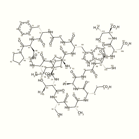 CC(C)[C@H](NC(=O)[C@H](CCC(=O)O)NC(=O)[C@H](C)NC(=O)[C@H](CO)NC(=O)[C@@H](NC(=O)[C@@H]1CCCN1C(=O)[C@H](CC(=O)O)NC(=O)[C@@H]1CCCN1C(=O)[C@H](CS)NC(=O)[C@H](Cc1ccccc1)NC(=O)CNC(=O)[C@H](Cc1c[nH]c2ccccc12)NC(=O)[C@@H](N)CCCCN)[C@@H](C)O)C(=O)NCC(=O)N[C@@H](CS)C(=O)N[C@@H](CC(=O)O)C(=O)N[C@H](C(=O)O)[C@@H](C)O